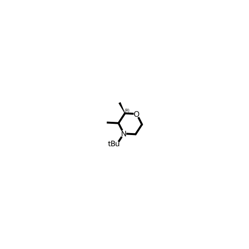 CC1[C@@H](C)OCCN1C(C)(C)C